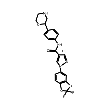 Cl.O=C(Nc1ccc(C2CNCCO2)cc1)c1cnn(-c2ccc3c(c2)OC(F)(F)O3)c1